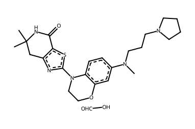 CN(CCCN1CCCC1)c1ccc2c(c1)OCCN2c1nc2c(s1)C(=O)NC(C)(C)C2.O=CO